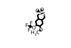 COC1CC2CSS(=O)(=O)CC2CC1OC(F)(F)F